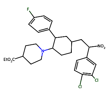 CCOC(=O)C1CCN(C2CCC(CC(c3ccc(Cl)c(Cl)c3)[N+](=O)[O-])CC2c2ccc(F)cc2)CC1